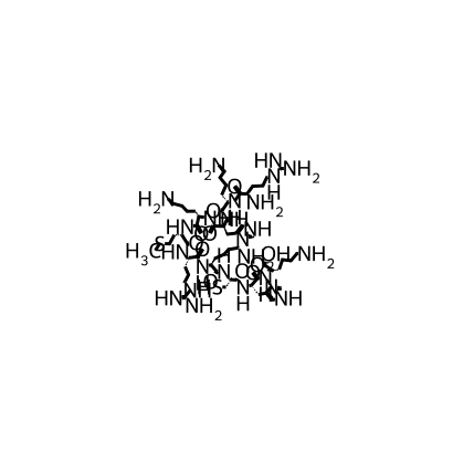 CSCC[C@H](NC(=O)[C@H](CCCCN)NC(=O)[C@H](Cc1c[nH]cn1)NC(=O)[C@H](CCCCN)NC(=O)[C@@H](N)CCCNC(=N)N)C(=O)N[C@@H](CCCNC(=N)N)C(=O)N[C@@H](CCCCN)C(=O)N[C@@H](CS)C(=O)N[C@@H](Cc1c[nH]cn1)C(=O)N[C@@H](CCCCN)C(=O)O